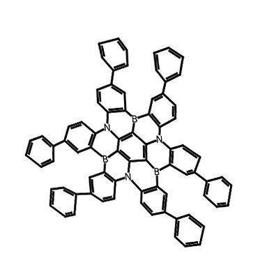 c1ccc(-c2ccc3c(c2)B2c4cc(-c5ccccc5)ccc4N4c5ccc(-c6ccccc6)cc5B5c6cc(-c7ccccc7)ccc6N6c7ccc(-c8ccccc8)cc7B7c8cc(-c9ccccc9)ccc8N3c3c2c4c5c6c37)cc1